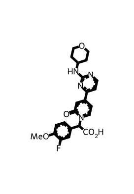 COc1ccc(C(C(=O)O)n2ccc(-c3ccnc(NC4CCOCC4)n3)cc2=O)cc1F